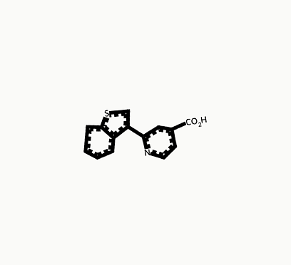 O=C(O)c1ccnc(-c2csc3ccccc23)c1